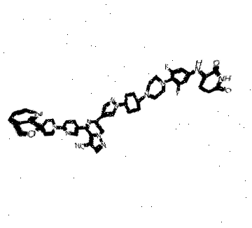 N#Cc1cnn2cc(-c3cnn(C4CCC(N5CCN(c6c(F)cc(NC7CCC(=O)NC7=O)cc6F)CC5)CC4)c3)nc(-c3ccc(N4CCC5(CC4)OCc4cccnc45)nc3)c12